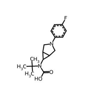 CC(C)(C)N(C(=O)O)C1C2CN(c3ccc(F)cc3)CC21